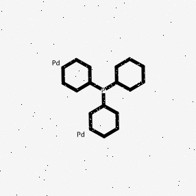 C1CCC(P(C2CCCCC2)C2CCCCC2)CC1.[Pd].[Pd]